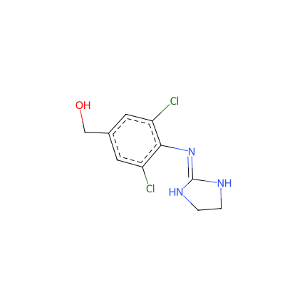 OCc1cc(Cl)c(N=C2NCCN2)c(Cl)c1